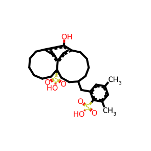 Cc1cc(C)c(S(=O)(=O)O)c(CC2CCCCc3cc4cc(c3O)CCCCCCC4(S(=O)(=O)O)CC2)c1